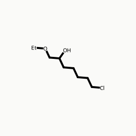 CCOCC(O)CCCCCCl